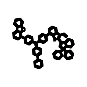 C=Cc1c(C2=CC(c3ccccc3)(C3C=CC=CC3)c3ccccc32)sc2c(-c3ccc(N(c4ccc(-c5ccccc5)cc4)c4ccc(-c5cccc6c5oc5ccccc56)cc4)cc3)cccc12